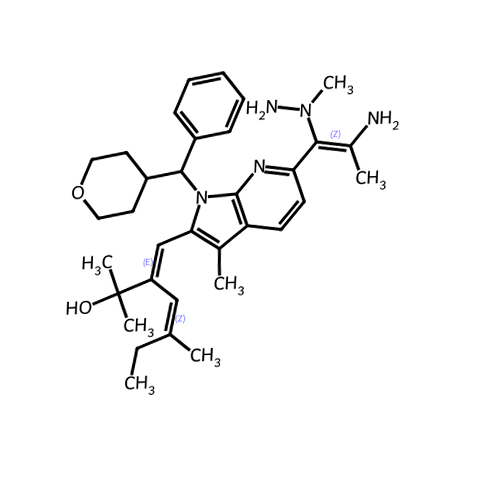 CC/C(C)=C\C(=C/c1c(C)c2ccc(/C(=C(\C)N)N(C)N)nc2n1C(c1ccccc1)C1CCOCC1)C(C)(C)O